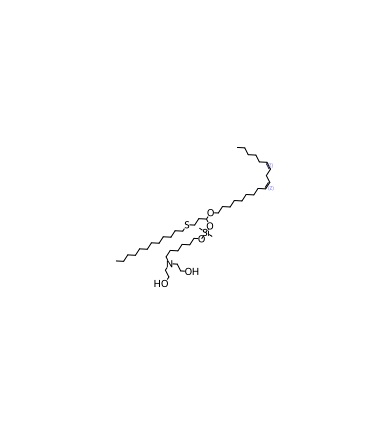 CCCCC/C=C\C/C=C\CCCCCCCCOC(CCSCCCCCCCCCCCC)O[Si](C)(C)OCCCCCCN(CCO)CCO